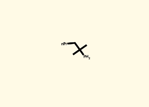 CCCCC(C)(C)P